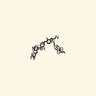 C/C=C/S(=O)(=O)N1CCN(CCn2c(C#N)cc3c(C)c(CN4CCC(Nc5ncnc6sc(CC(F)(F)F)cc56)CC4)ccc32)CC1